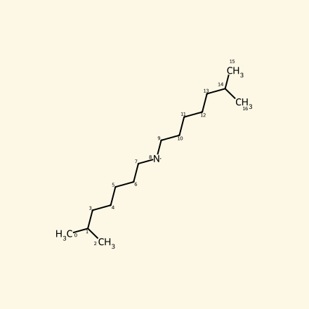 CC(C)CCCCC[N]CCCCCC(C)C